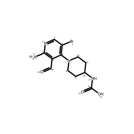 Nc1ncc(Br)c(N2CCC(NC(=O)O)CC2)c1C=O